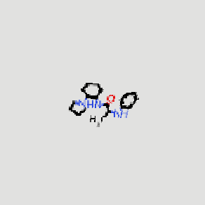 CC(Nc1ccccc1)C(=O)NC1CCCCC1N1CCCC1